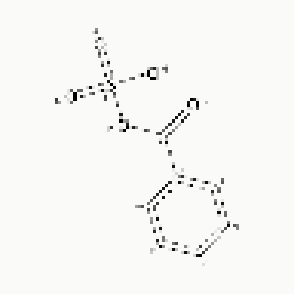 O=C(OS(=O)(=O)Cl)c1ccccc1